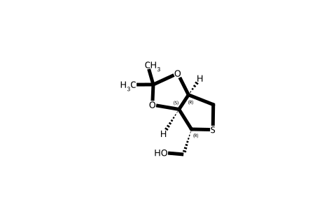 CC1(C)O[C@H]2[C@H](CS[C@@H]2CO)O1